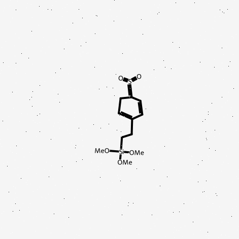 CO[Si](CCC1=CCC(=S(=O)=O)C=C1)(OC)OC